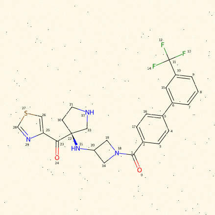 O=C(c1ccc(-c2cccc(C(F)(F)F)c2)cc1)N1CC(N[C@@]2(C(=O)c3cscn3)CCNC2)C1